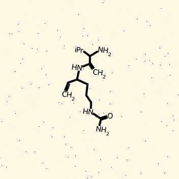 C=CC(CCCNC(N)=O)NC(=C)C(N)C(C)C